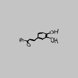 CC(C)C(=O)C=Cc1ccc(O)c(O)c1